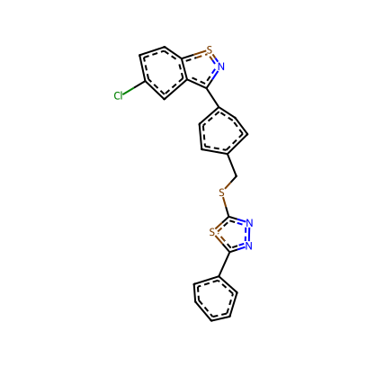 Clc1ccc2snc(-c3ccc(CSc4nnc(-c5ccccc5)s4)cc3)c2c1